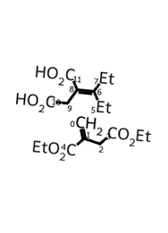 C=C(CC(=O)OCC)C(=O)OCC.CCC(CC)=C(CC(=O)O)C(=O)O